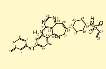 C=C/C=C(\C=C/C)Oc1ccc(C2=NCC([C@H]3CC[C@@H](NS(=O)(=O)C=C)CC3)=Cc3ncnc(N)c32)cc1